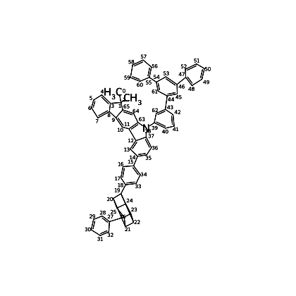 CC1(C)c2ccccc2-c2cc3c4cc(-c5ccc(C67C8C9C6C6C7C8C96c6ccccc6)cc5)ccc4n(-c4cccc(-c5cc(-c6ccccc6)cc(-c6ccccc6)c5)c4)c3cc21